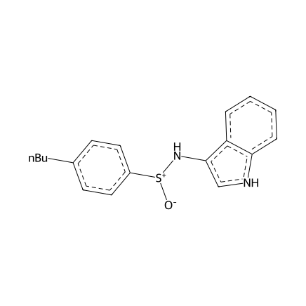 CCCCc1ccc([S+]([O-])Nc2c[nH]c3ccccc23)cc1